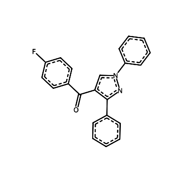 O=C(c1ccc(F)cc1)c1cn(-c2ccccc2)nc1-c1ccccc1